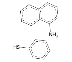 Nc1cccc2ccccc12.Sc1ccccc1